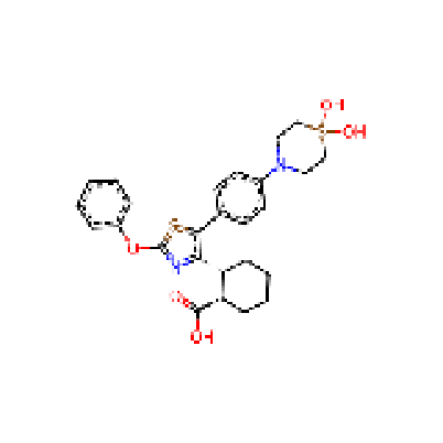 O=C(O)[C@@H]1CCCC[C@H]1c1nc(Oc2ccccc2)sc1-c1ccc(N2CCS(O)(O)CC2)cc1